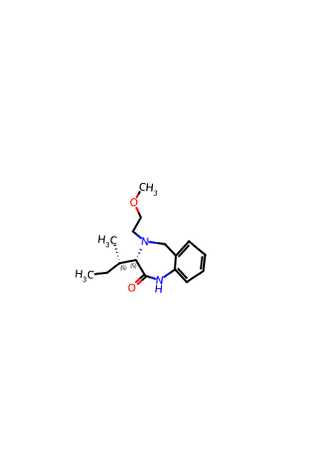 CC[C@H](C)[C@H]1C(=O)Nc2ccccc2CN1CCOC